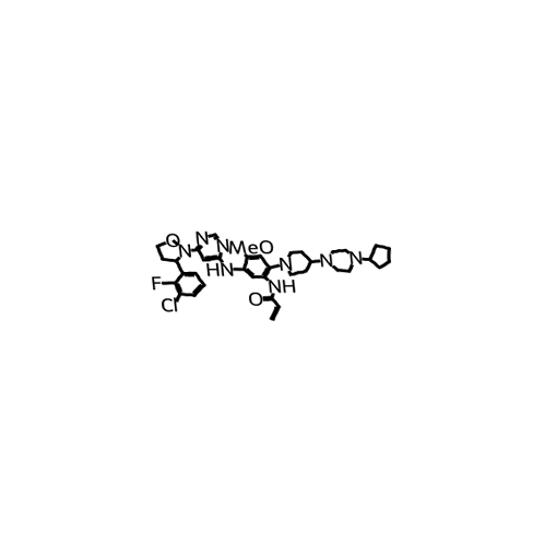 C=CC(=O)Nc1cc(Nc2cc(N3OCCC3c3cccc(Cl)c3F)ncn2)c(OC)cc1N1CCC(N2CCN(C3CCCC3)CC2)CC1